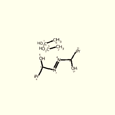 CC(=O)O.CC(=O)O.CC(C)C(O)N=NC(O)C(C)C